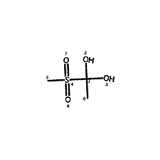 CC(O)(O)S(C)(=O)=O